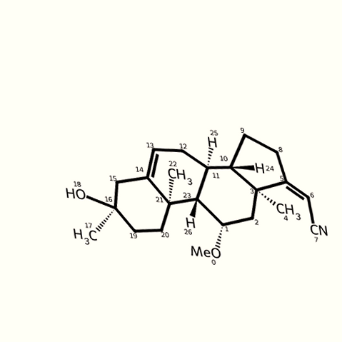 CO[C@H]1C[C@]2(C)/C(=C\C#N)CC[C@H]2[C@@H]2CC=C3C[C@](C)(O)CC[C@]3(C)[C@H]21